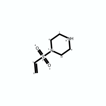 C=CS(=O)(=O)N1CCNCC1